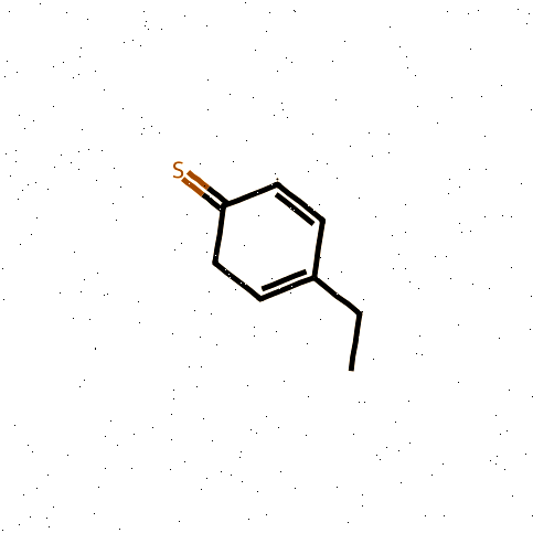 CCC1=CCC(=S)[C]=C1